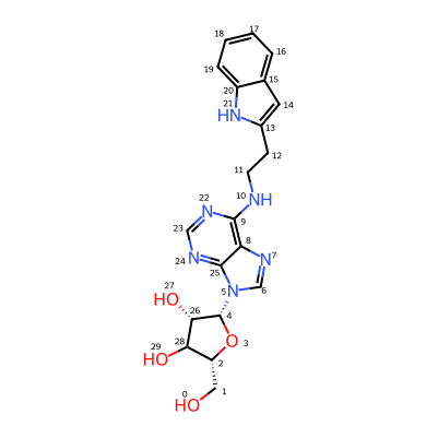 OC[C@H]1O[C@@H](n2cnc3c(NCCc4cc5ccccc5[nH]4)ncnc32)[C@@H](O)C1O